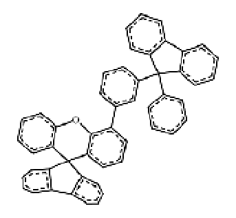 c1ccc(C2(c3cccc(-c4cccc5c4Oc4ccccc4C54c5ccccc5-c5ccccc54)c3)c3ccccc3-c3ccccc32)cc1